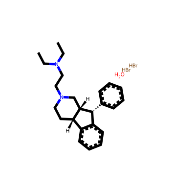 Br.Br.CCN(CC)CCN1CC[C@H]2c3ccccc3[C@@H](c3ccccc3)[C@H]2C1.O